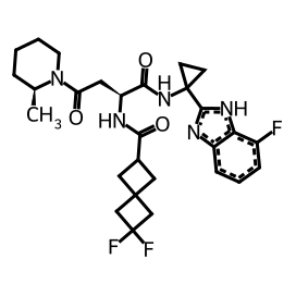 C[C@H]1CCCCN1C(=O)C[C@H](NC(=O)C1CC2(C1)CC(F)(F)C2)C(=O)NC1(c2nc3cccc(F)c3[nH]2)CC1